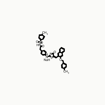 Cc1ccc(COc2cc3ccccc3cc2C=C2SC(Nc3ccc(CC(=O)NS(=O)(=O)c4ccc(C)cc4)cc3)=NC2=O)cc1.[NaH]